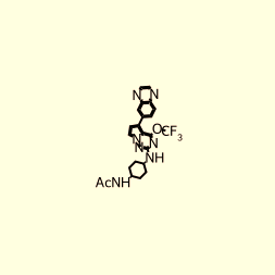 CC(=O)N[C@H]1CC[C@@H](Nc2nc(OC(F)(F)F)c3c(-c4ccc5nccnc5c4)ccn3n2)CC1